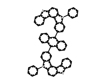 c1ccc(-n2c3ccc(-c4c5ccccc5c(-c5ccc6c(c5)c5c7c(ccc5n6-c5ccccc5)sc5ccccc57)c5ccccc45)cc3c3c4c(ccc32)sc2ccccc24)cc1